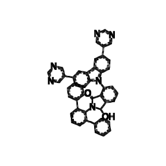 O=C1c2c(cccc2-n2c3ccc(-c4cncnc4)cc3c3cc(-c4cncnc4)ccc32)C(O)N1c1c(-c2ccccc2)cccc1-c1ccccc1